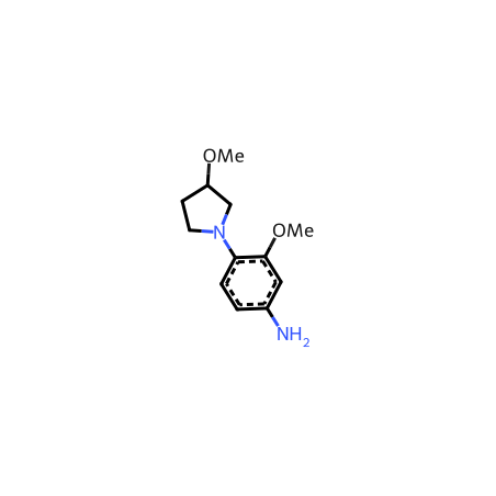 COc1cc(N)ccc1N1CCC(OC)C1